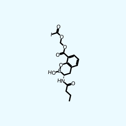 CCCC(=O)N[C@H]1Cc2cccc(C(=O)OCOC(=O)I)c2OB1O